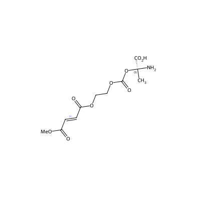 COC(=O)/C=C/C(=O)OCCOC(=O)O[C@](C)(N)C(=O)O